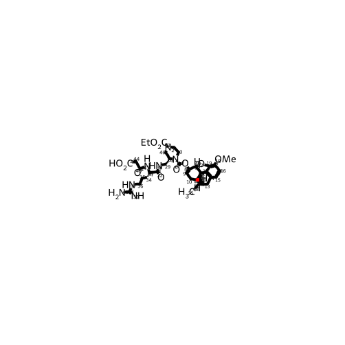 CCOC(=O)N1CCN(C(=O)OC2=CC[C@H]3[C@H]4Cc5ccc(OC)c6c5[C@@]3(CCN4C)[C@H]2O6)[C@@H](CNC(=O)[C@H](CCCNC(=N)N)NC(=O)CC(=O)O)C1